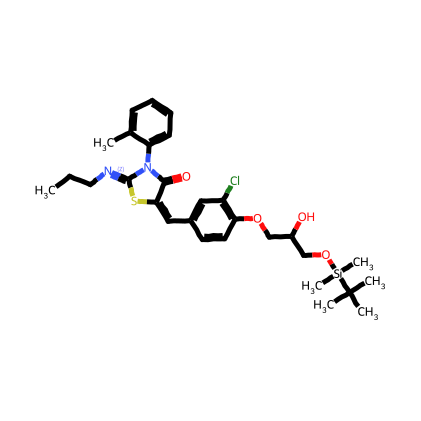 CCC/N=C1\SC(=Cc2ccc(OCC(O)CO[Si](C)(C)C(C)(C)C)c(Cl)c2)C(=O)N1c1ccccc1C